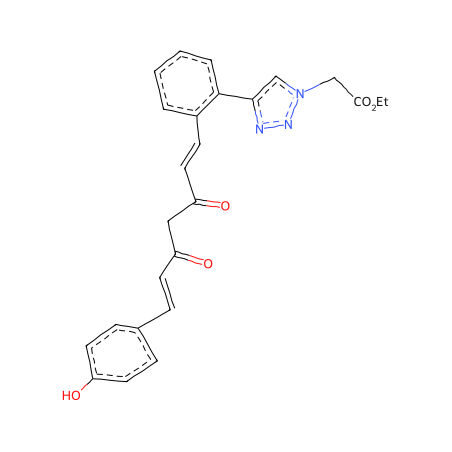 CCOC(=O)Cn1cc(-c2ccccc2/C=C/C(=O)CC(=O)/C=C/c2ccc(O)cc2)nn1